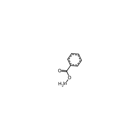 O=C([O][InH2])c1ccccc1